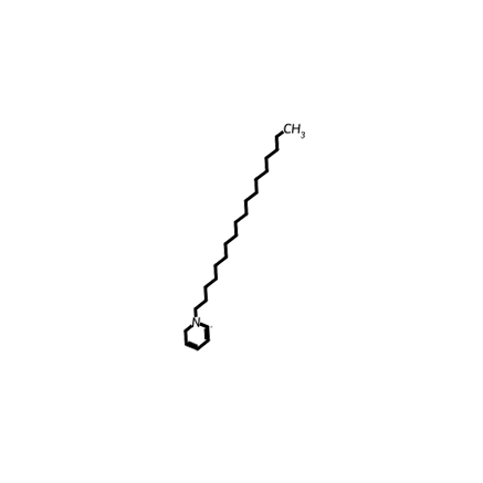 CCCCCCCCCCCCCCCCCCN1[C]=CC=CC1